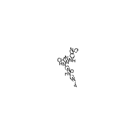 O=C1N=Cc2cc(Nc3ncc(Cl)c(NC4CCN(C(=O)NC5CCN(CC6CC6)CC5)CC4)n3)ccc21